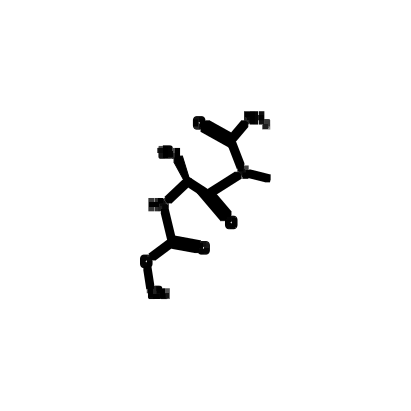 CN(C(N)=O)C(=O)[C@@H](NC(=O)OC(C)(C)C)C(C)(C)C